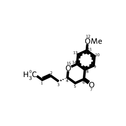 CC=CC[C@H]1CC(=O)c2ccc(OC)cc2O1